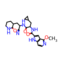 COc1nccc2[nH]c(C(=O)NC(CC3CC3)C(=O)NC(C#N)CC3CCCNC3=O)cc12